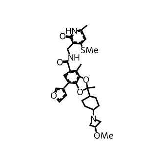 COC1CN(C2CCC(C3(C)Oc4c(-c5ccoc5)cc(C(=O)NCc5c(SC)cc(C)[nH]c5=O)c(C)c4O3)CC2)C1